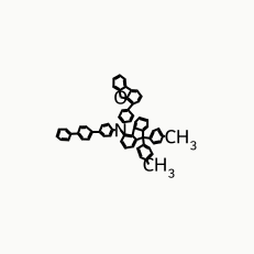 Cc1ccc(C2(c3ccc(C)cc3)c3ccccc3-c3c(N(c4ccc(-c5ccc(-c6ccccc6)cc5)cc4)c4ccc(-c5cccc6c5oc5ccccc56)cc4)cccc32)cc1